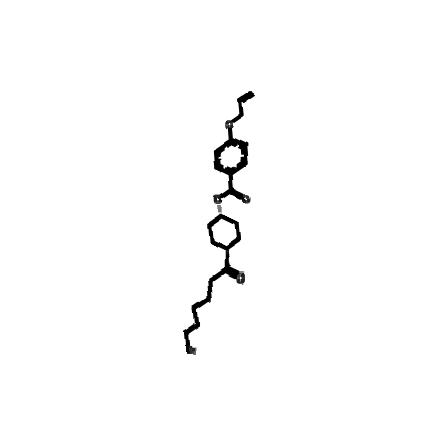 C=CCOc1ccc(C(=O)O[C@H]2CC[C@H](C(=O)CCCCCBr)CC2)cc1